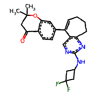 CC1(C)CC(=O)c2ccc(C3=CCCCc4nc(NC5CC(F)(F)C5)ncc43)cc2O1